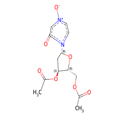 CC(=O)OC[C@H]1O[C@@H](n2cc[n+]([O-])cc2=O)C[C@@H]1OC(C)=O